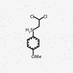 COc1ccc([SiH2]CC(Cl)Cl)cc1